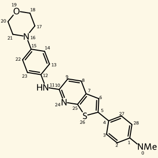 CNc1ccc(-c2cc3ccc(Nc4ccc(N5CCOCC5)cc4)nc3s2)cc1